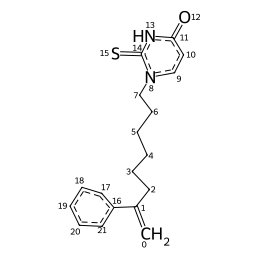 C=C(CCCCCCn1ccc(=O)[nH]c1=S)c1ccccc1